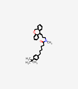 CN(CC/C=C1/c2ccccc2COc2ccccc21)C(=O)CCCCCc1ccc(C(C)(C)C)cc1